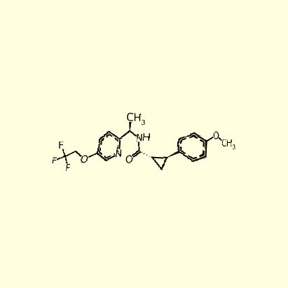 COc1ccc([C@H]2C[C@@H]2C(=O)N[C@H](C)c2ccc(OCC(F)(F)F)cn2)cc1